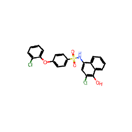 O=S(=O)(Nc1cc(Cl)c(O)c2ccccc12)c1ccc(Oc2ccccc2Cl)cc1